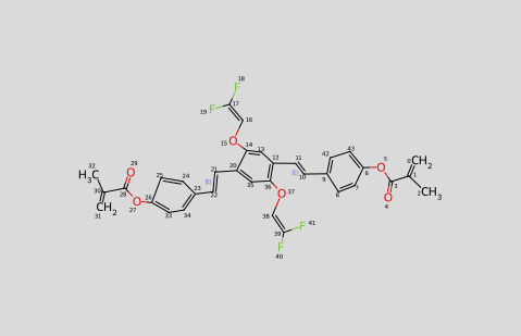 C=C(C)C(=O)Oc1ccc(/C=C/c2cc(OC=C(F)F)c(/C=C/c3ccc(OC(=O)C(=C)C)cc3)cc2OC=C(F)F)cc1